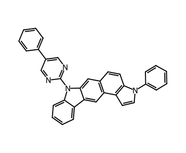 c1ccc(-c2cnc(-n3c4ccccc4c4cc5c(ccc6c5ccn6-c5ccccc5)cc43)nc2)cc1